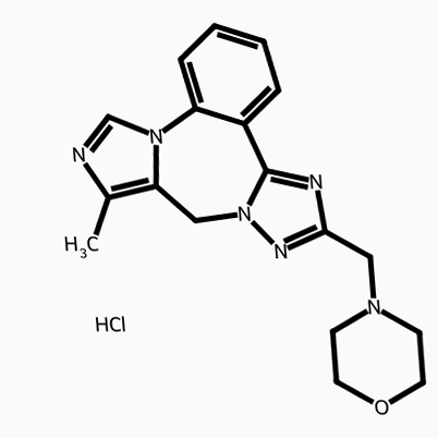 Cc1ncn2c1Cn1nc(CN3CCOCC3)nc1-c1ccccc1-2.Cl